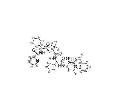 CCC[C@@H](NC(=O)[C@@H]1C2CCCC2CN1C(=O)[C@@H](NC(=O)[C@H](NC(=O)c1cnccn1)C1CCCCC1)C(C)(C)C)C(=O)C(=O)N[C@H](C)c1ccncc1